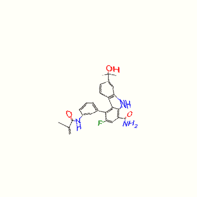 C=C(C)C(=O)Nc1cccc(-c2c(F)cc(C(N)=O)c3[nH]c4cc(C(C)(C)O)ccc4c23)c1